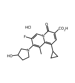 Cc1c(N2CCC(O)C2)c(F)cn2c(=O)c(C(=O)O)cc(C3CC3)c12.Cl